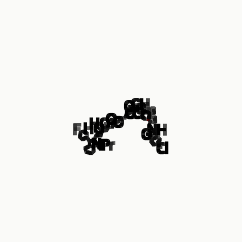 CC(C)n1c(/C=C/C(O)CC(O)CC(=O)OCCCOC(=O)C(C)(C)Oc2ccc(CCNC(=O)c3ccc(Cl)cc3)cc2)c(-c2ccc(F)cc2)c2ccccc21